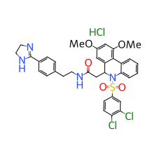 COc1cc(OC)c2c(c1)C(CC(=O)NCCc1ccc(C3=NCCN3)cc1)N(S(=O)(=O)c1ccc(Cl)c(Cl)c1)c1ccccc1-2.Cl